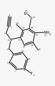 C#CCN(Cc1ccc(F)cc1)c1cc(C)c(N)c(SCC)c1C